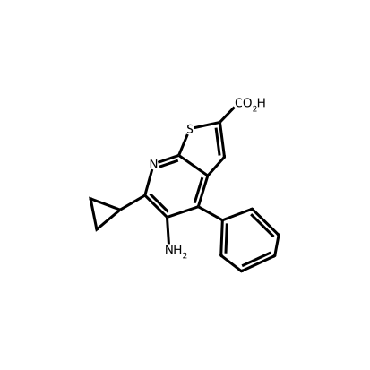 Nc1c(C2CC2)nc2sc(C(=O)O)cc2c1-c1ccccc1